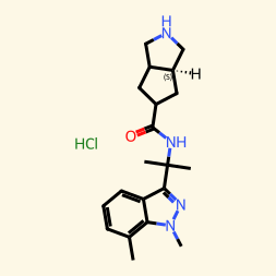 Cc1cccc2c(C(C)(C)NC(=O)C3CC4CNC[C@H]4C3)nn(C)c12.Cl